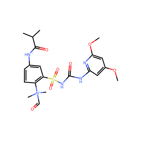 COc1cc(NC(=O)NS(=O)(=O)c2cc(NC(=O)C(C)C)ccc2[N+](C)(C)C=O)nc(OC)c1